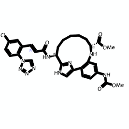 COC(=O)Nc1ccc2c(c1)N[C@@H](C(=O)OC)CCCCC[C@H](NC(=O)/C=C/c1cc(Cl)ccc1-n1cnnn1)c1nc-2c[nH]1